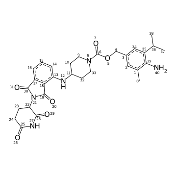 Cc1cc(COC(=O)N2CCC(Nc3cccc4c3C(=O)N(C3CCC(=O)NC3=O)C4=O)CC2)cc(C(C)C)c1N